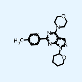 Cc1c[c]c(-c2nc(N3CCOCC3)c3cnn(C4CCCCO4)c3n2)cc1